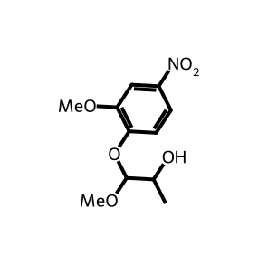 COc1cc([N+](=O)[O-])ccc1OC(OC)C(C)O